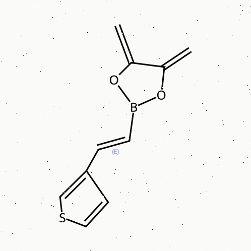 C=C1OB(/C=C/c2ccsc2)OC1=C